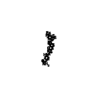 NC(=O)CN1CCC(NCC2=NC(=O)C(=Cc3ccc4c(cnn4Cc4ccc(C(F)(F)F)cc4C(F)(F)F)c3)S2)CC1